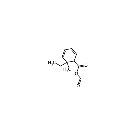 CCC1(C)C=CC=CC1C(=O)OC=O